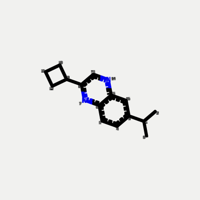 CC(C)c1ccc2nc(C3CCC3)cnc2c1